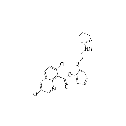 O=C(Oc1ccccc1OCCNc1ccccc1)c1c(Cl)ccc2cc(Cl)cnc12